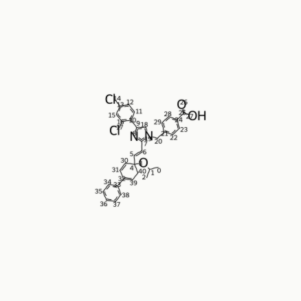 CC(C)OC1(C=Cc2nc(-c3ccc(Cl)cc3Cl)cn2Cc2ccc(C(=O)O)cc2)C=CC(c2ccccc2)=CC1